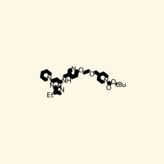 CCc1cnn2c(NCc3ccc(OCCOCC4CCN(C(=O)OC(C)(C)C)CC4)nc3)cc(N3CCCCC3)nc12